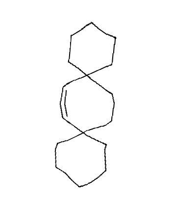 C1=CC2(CCCCC2)CCC12CCCCC2